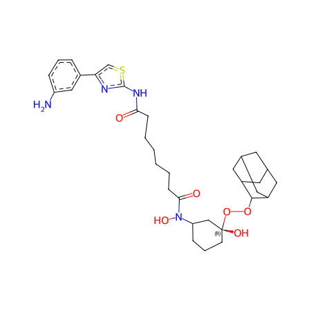 Nc1cccc(-c2csc(NC(=O)CCCCCCC(=O)N(O)C3CCC[C@@](O)(OOC4C5CC6CC(C5)CC4C6)C3)n2)c1